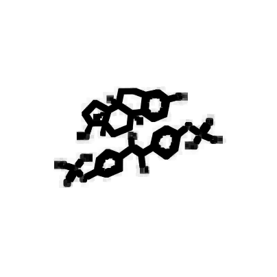 CC/C(=C(/CC)c1ccc(OP(=O)(O)O)cc1)c1ccc(OP(=O)(O)O)cc1.C[C@]12CC[C@@H]3c4ccc(O)cc4CC[C@H]3[C@@H]1CC[C@@H]2O